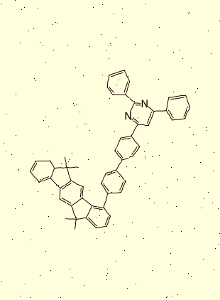 CC1(C)c2cc3c(cc2-c2c(-c4ccc(-c5ccc(-c6cc(-c7ccccc7)nc(-c7ccccc7)n6)cc5)cc4)cccc21)C(C)(C)C1CC=CC=C31